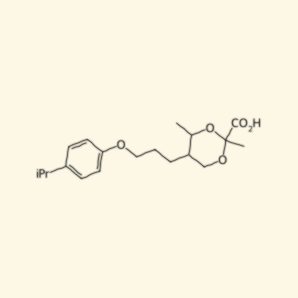 CC(C)c1ccc(OCCCC2COC(C)(C(=O)O)OC2C)cc1